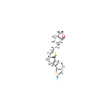 Fc1cc2ccc3c(c2s1)-c1ccc2cc(CCc4ccc5c(c4)OCC5)sc2c1-3